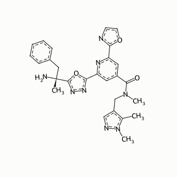 Cc1c(CN(C)C(=O)c2cc(-c3ncco3)nc(-c3nnc([C@](C)(N)Cc4ccccc4)o3)c2)cnn1C